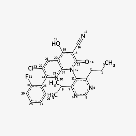 CCCc1ncnc(C(C)C)c1-n1c(=O)c(C#N)c(O)c2cc(Cl)c(-c3ccccc3F)nc21